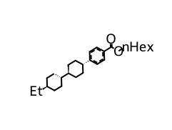 CCCCCCOC(=O)c1ccc([C@H]2CC[C@H]([C@H]3CC[C@H](CC)CC3)CC2)cc1